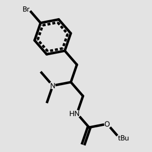 C=C(NCC(Cc1ccc(Br)cc1)N(C)C)OC(C)(C)C